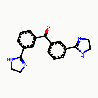 O=C(c1cccc(C2=NCCN2)c1)c1cccc(C2=NCCN2)c1